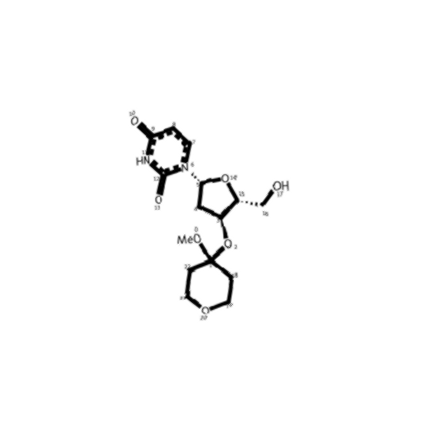 COC1(O[C@H]2C[C@H](n3ccc(=O)[nH]c3=O)O[C@@H]2CO)CCOCC1